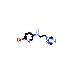 Brc1ccc(NCCn2cncn2)cn1